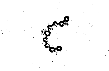 Cn1c2ccccc2c2cc(-c3ccc(-c4ccc(C5C=CC(c6ccc(-c7ccc(-c8ccc9c(c8)c8ccccc8n9C)s7)s6)c6nsnc65)s4)s3)ccc21